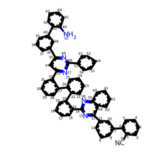 N#Cc1ccccc1-c1cccc(-c2nc(-c3ccccc3-c3ccccc3-c3ccccc3-c3cc(-c4cccc(-c5ccccc5N)c4)nc(-c4ccccc4)n3)nc3ccccc23)c1